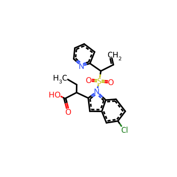 C=CC(c1ccccn1)S(=O)(=O)n1c(C(CC)C(=O)O)cc2cc(Cl)ccc21